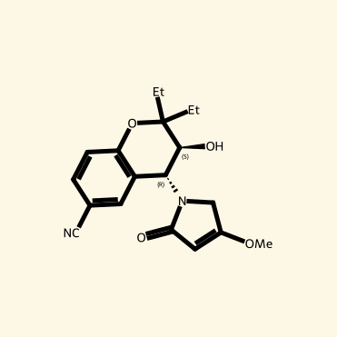 CCC1(CC)Oc2ccc(C#N)cc2[C@@H](N2CC(OC)=CC2=O)[C@@H]1O